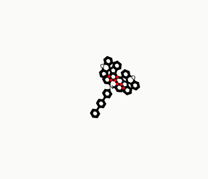 C1=CC2C(C=C1c1ccccc1N(c1ccc(-c3ccc(-c4ccccc4)cc3)cc1)c1ccccc1-c1ccc3c(c1)-c1ccccc1C31c3ccccc3Oc3ccccc31)c1ccccc1C21c2ccccc2Oc2ccccc21